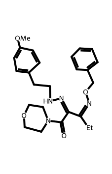 CCC(=NOCc1ccccc1)C(=NNCCc1ccc(OC)cc1)C(=O)N1CCOCC1